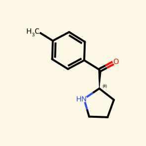 Cc1ccc(C(=O)[C@H]2CCCN2)cc1